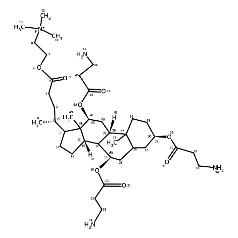 C[C@H](CCC(=O)OCC[N+](C)(C)C)C1CC[C@H]2C3[C@H](OC(=O)CCN)CC4C[C@H](OC(=O)CCN)CCC4(C)[C@H]3C[C@H](OC(=O)CCN)C12C